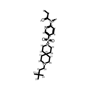 CCC(=O)N(C)c1ccc(S(=O)(=O)N2CCC3(CCN(CCC(C)(C)C)CC3)CC2)cn1